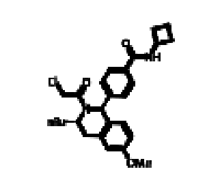 CCCC[C@H]1Cc2cc(OC)ccc2[C@H](c2ccc(C(=O)NC3CCC3)cc2)N1C(=O)CCl